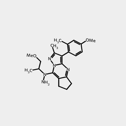 COCC(C)N(N)c1c2c(nc3c(-c4ccc(OC)cc4C)c(C)nn13)CCC2